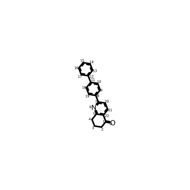 O=C1CCCc2nc(-c3ccc(-c4ccccc4)cc3)ccc21